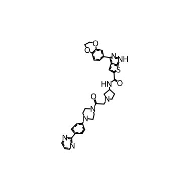 O=C(NC1CCN(CC(=O)N2CCN(c3ccc(-c4ncccn4)cc3)CC2)C1)c1cc2c(-c3ccc4c(c3)OCCO4)n[nH]c2s1